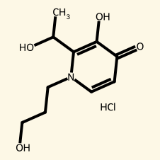 CC(O)c1c(O)c(=O)ccn1CCCO.Cl